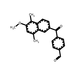 COc1cc(C)c2cc(C(=O)c3ccc(C=O)cc3)ccc2c1C